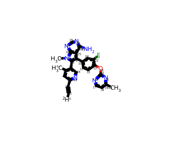 [2H]C#Cc1cc(C)c(-c2c(-c3ccc(Oc4nccc(C)n4)c(F)c3)c3c(N)ncnc3n2C)cn1